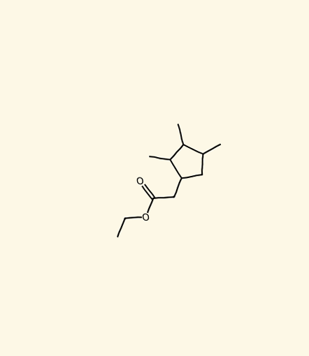 CCOC(=O)CC1CC(C)C(C)C1C